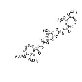 CO[C@H]1C#CCCN(C(=O)CCC(=O)Oc2cc(O)cc(OC(=O)CCC(=O)N3CCC#C[C@H](OC)[C@@H](OC)C3)c2)C[C@@H]1OC